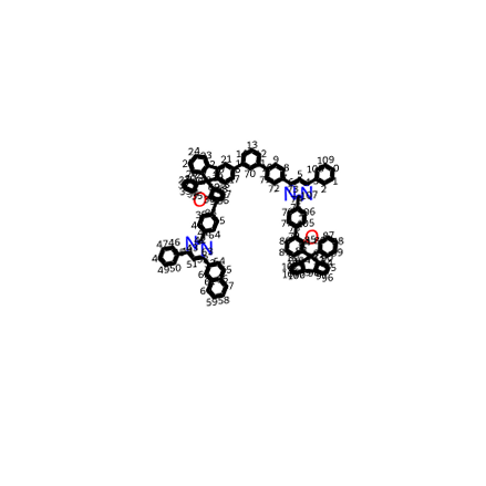 c1ccc(-c2cc(-c3ccc(-c4cccc(-c5ccc6c(c5)-c5ccccc5C65c6ccccc6Oc6c(-c7ccc(-c8nc(-c9ccccc9)cc(-c9ccc%10ccccc%10c9)n8)cc7)cccc65)c4)cc3)nc(-c3ccc(-c4cccc5c4Oc4ccccc4C54c5ccccc5-c5ccccc54)cc3)n2)cc1